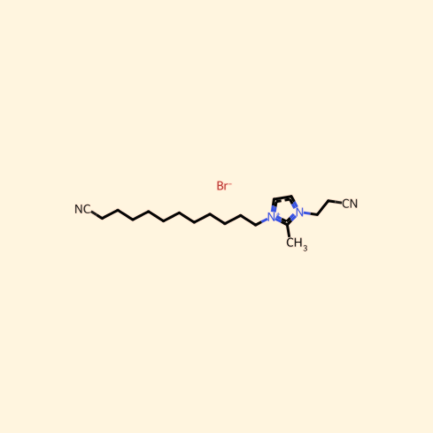 Cc1n(CCC#N)cc[n+]1CCCCCCCCCCCC#N.[Br-]